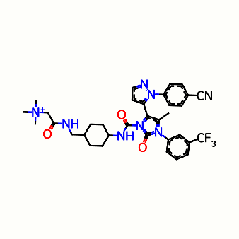 Cc1c(-c2ccnn2-c2ccc(C#N)cc2)n(C(=O)NC2CCC(CNC(=O)C[N+](C)(C)C)CC2)c(=O)n1-c1cccc(C(F)(F)F)c1